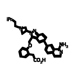 CC(C)CCN1CC(n2nc3ccc(-c4ccc5ccnc(N)c5c4)cc3c2COc2ccccc2CC(=O)O)C1